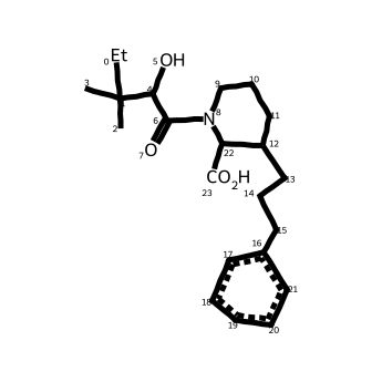 CCC(C)(C)C(O)C(=O)N1CCCC(CCCc2ccccc2)C1C(=O)O